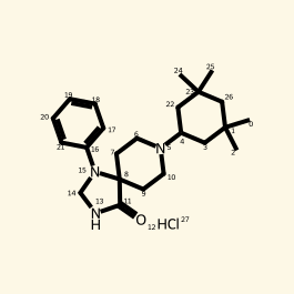 CC1(C)CC(N2CCC3(CC2)C(=O)NCN3c2ccccc2)CC(C)(C)C1.Cl